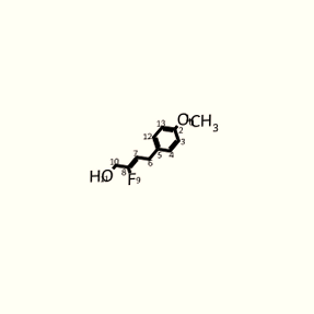 COc1ccc(C/C=C(\F)CO)cc1